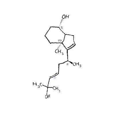 C[C@@H](C/C=C/C(C)(C)O)C1=CCC2[C@@H](O)CCC[C@]12C